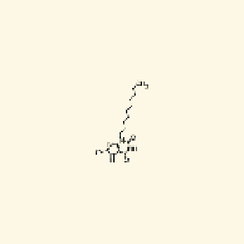 CCCCCCCCCCn1c(=O)[nH]c(=O)c2[nH]c(Cl)nc21